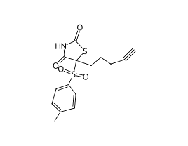 C#CCCCC1(S(=O)(=O)c2ccc(C)cc2)SC(=O)NC1=O